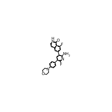 Nc1nc(F)c(-c2ccc(N3CCOCC3)cc2)cc1-c1cc(F)c2c(=O)[nH]ccc2c1